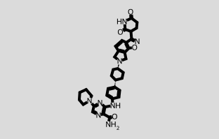 NC(=O)c1ncc(N2CCCCC2)nc1Nc1ccc([C@H]2CC[C@@H](N3Cc4ccc5c(C6CCC(=O)NC6=O)noc5c4C3)CC2)cc1